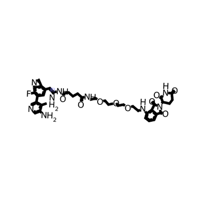 Cc1c(N)cncc1-c1cc(/C=C(\N)NC(=O)CCCC(=O)NCCOCCOCCOCCNc2cccc3c2C(=O)N(C2CCC(=O)NC2=O)C3=O)c2c(c1F)N=C2